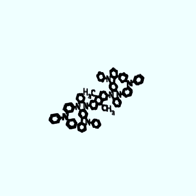 Cc1c2ccc(N3c4ccccc4N(c4cccc(N(c5ccccc5)c5ccccc5)c4)c4cc5c6ccccc6n(-c6ccccc6)c5cc43)cc2c(C)c2ccc(N3c4ccccc4N(c4cccc(N(c5ccccc5)c5ccccc5)c4)c4cc5c6ccccc6n(-c6ccccc6)c5cc43)cc12